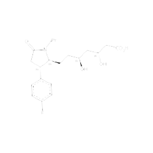 CC(C)N1C(=O)C[C@@H](c2ccc(F)cc2)[C@@H]1CC[C@H](O)C[C@@H](O)CC(=O)O